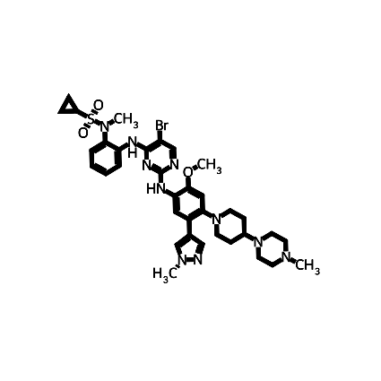 COc1cc(N2CCC(N3CCN(C)CC3)CC2)c(-c2cnn(C)c2)cc1Nc1ncc(Br)c(Nc2ccccc2N(C)S(=O)(=O)C2CC2)n1